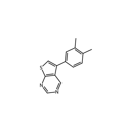 Cc1ccc(-c2csc3ncn[c]c23)cc1C